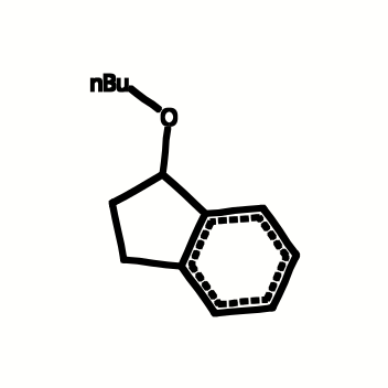 [CH2]CCCOC1CCc2ccccc21